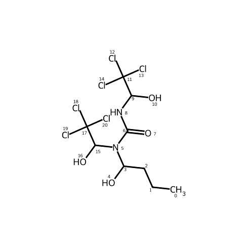 CCCC(O)N(C(=O)NC(O)C(Cl)(Cl)Cl)C(O)C(Cl)(Cl)Cl